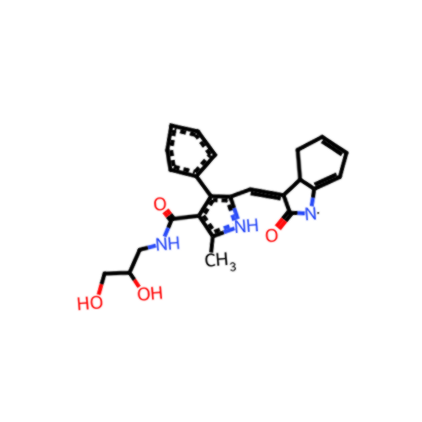 Cc1[nH]c(/C=C2\C(=O)[N]C3=CC=CCC32)c(-c2ccccc2)c1C(=O)NCC(O)CO